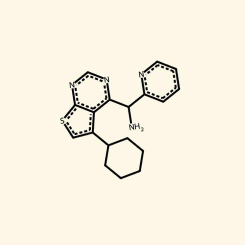 NC(c1ccccn1)c1ncnc2scc(C3CCCCC3)c12